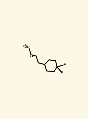 CC(C)(C)OCCC1CCC(F)(F)CC1